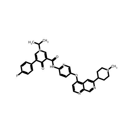 CC(C)n1cc(C(=O)Nc2ccc(Oc3ccnc4cnc(C5CCN(C)CC5)cc34)cn2)c(=O)c(-c2ccc(F)cc2)c1